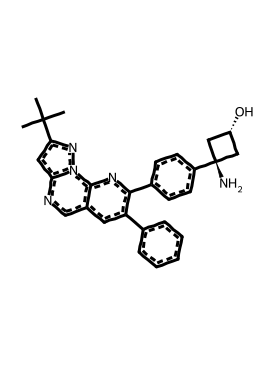 CC(C)(C)c1cc2ncc3cc(-c4ccccc4)c(-c4ccc([C@]5(N)C[C@H](O)C5)cc4)nc3n2n1